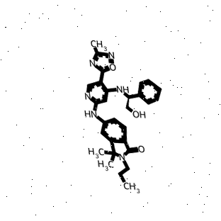 CCCN1C(=O)c2ccc(Nc3cc(N[C@H](CO)c4ccccc4)c(-c4nc(C)no4)cn3)cc2C1(C)C